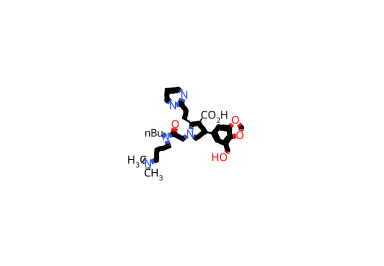 CCCCN(CCCN(C)C)C(=O)CN1C[C@H](c2cc(CO)c3c(c2)OCO3)[C@@H](C(=O)O)[C@@H]1CCc1ncccn1